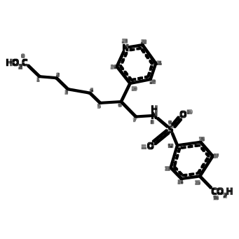 O=C(O)CCCCCC(CNS(=O)(=O)c1ccc(C(=O)O)cc1)c1cccnc1